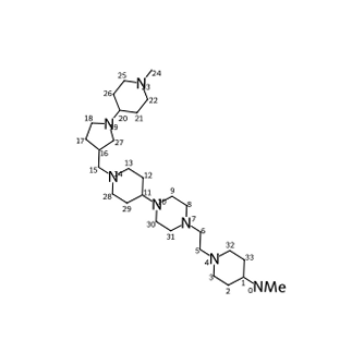 CNC1CCN(CCN2CCN(C3CCN(CC4CCN(C5CCN(C)CC5)C4)CC3)CC2)CC1